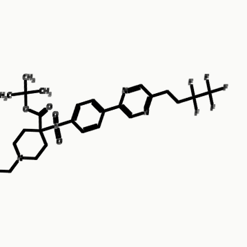 CCN1CCC(C(=O)OC(C)(C)C)(S(=O)(=O)c2ccc(-c3cnc(CCC(F)(F)C(F)(F)F)cn3)cc2)CC1